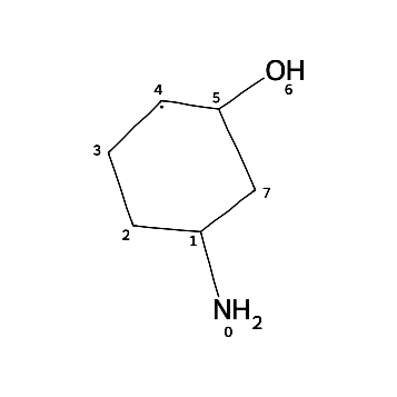 NC1CC[CH]C(O)C1